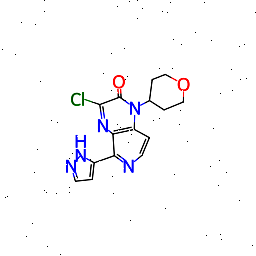 O=c1c(Cl)nc2c(-c3ccn[nH]3)nccc2n1C1CCOCC1